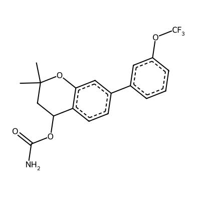 CC1(C)CC(OC(N)=O)c2ccc(-c3cccc(OC(F)(F)F)c3)cc2O1